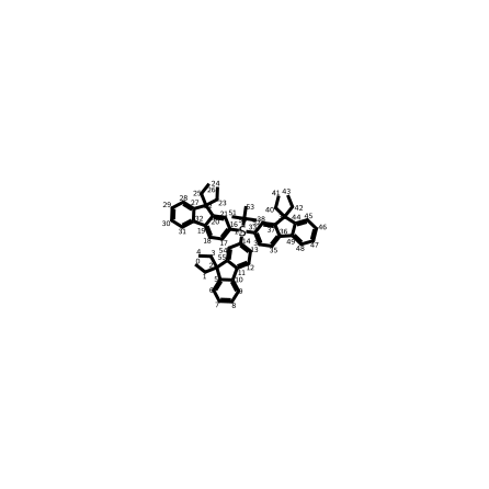 CCC1(CC)c2ccccc2-c2ccc(S(c3ccc4c(c3)C(CC)(CC)c3ccccc3-4)(c3ccc4c(c3)C(CC)(CC)c3ccccc3-4)C(C)(C)C)cc21